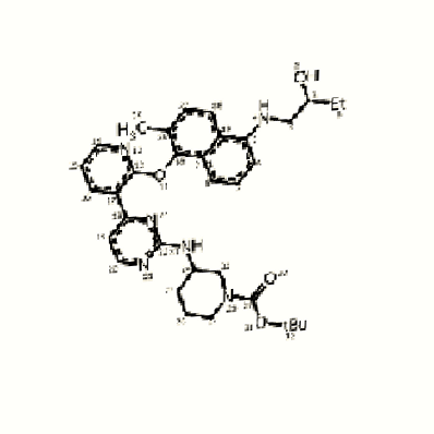 CC[C@H](O)CNc1cccc2c(Oc3ncccc3-c3ccnc(NC4CCCN(C(=O)OC(C)(C)C)C4)n3)c(C)ccc12